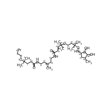 CC(C)CCOC(C)(C)CCC(=O)NCCN(C)CCNC(=O)CCC(C)(C)OCCC(C)(C)ONC1CC(C)C(O)N1O